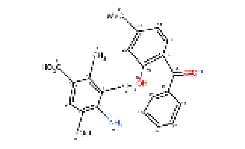 CCCCCCCCc1cc(C(=O)O)c(C)c(C)c1N.COc1ccc(C(=O)c2ccccc2)c(O)c1